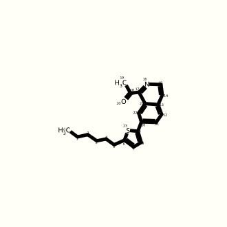 CCCCCCc1ccc(-c2ccc3ccnc(C(C)=O)c3c2)s1